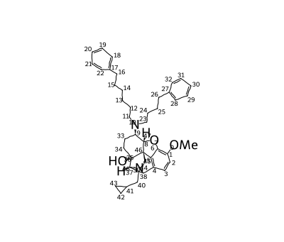 COc1ccc2c3c1O[C@H]1[C@H](N(CCCCCCc4ccccc4)CCCCc4ccccc4)CC[C@@]4(O)[C@@H](C2)N(CC2CC2)CC[C@]314